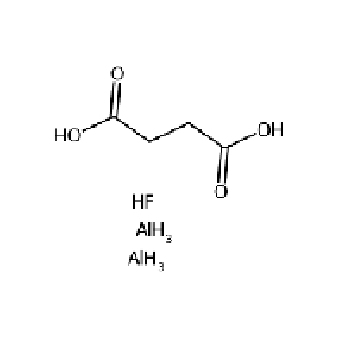 F.O=C(O)CCC(=O)O.[AlH3].[AlH3]